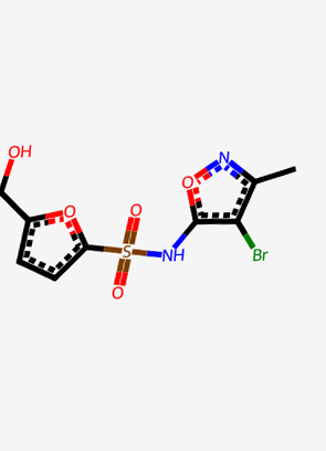 Cc1noc(NS(=O)(=O)c2ccc(CO)o2)c1Br